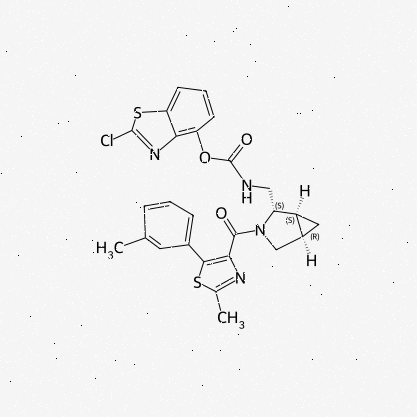 Cc1cccc(-c2sc(C)nc2C(=O)N2C[C@@H]3C[C@@H]3[C@H]2CNC(=O)Oc2cccc3sc(Cl)nc23)c1